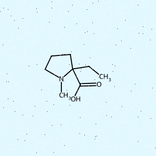 CCC1(C(=O)O)CCCN1C